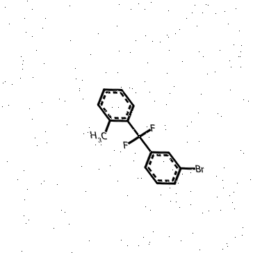 Cc1ccccc1C(F)(F)c1cccc(Br)c1